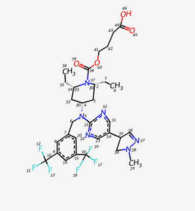 CC[C@@H]1C[C@H](N(Cc2cc(C(F)(F)F)cc(C(F)(F)F)c2)c2ncc(C3C=NN(C)C3)cn2)C[C@H](CC)N1C(=O)OCCCC(=O)O